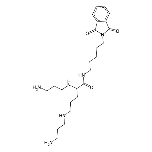 NCCCNCCCC(NCCCN)C(=O)NCCCCCN1C(=O)c2ccccc2C1=O